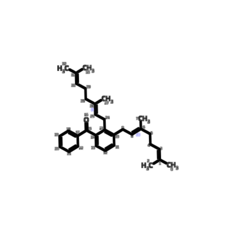 CC(C)=CCC/C(C)=C/Cc1cccc(C(=O)c2ccccc2)c1C/C=C(\C)CCC=C(C)C